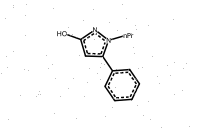 CCCn1nc(O)cc1-c1ccccc1